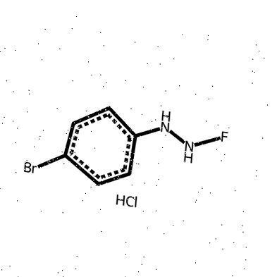 Cl.FNNc1ccc(Br)cc1